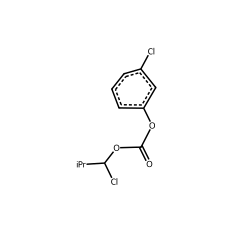 CC(C)C(Cl)OC(=O)Oc1cccc(Cl)c1